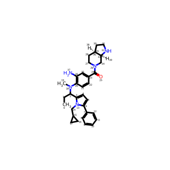 CCC(c1ccc(-c2ccccc2)n1CC1CC1)N(C)c1ccc(C(=O)N2CC[C@H]3CCN[C@H]3C2)cc1N